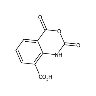 O=C(O)c1cccc2c(=O)oc(=O)[nH]c12